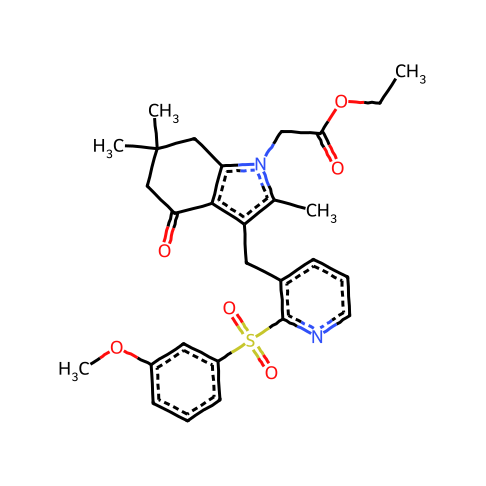 CCOC(=O)Cn1c(C)c(Cc2cccnc2S(=O)(=O)c2cccc(OC)c2)c2c1CC(C)(C)CC2=O